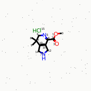 COC(=O)C1=NCC(C)(C)C2=C1CNC2.Cl